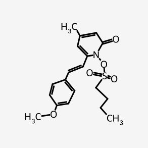 CCCCS(=O)(=O)On1c(C=Cc2ccc(OC)cc2)cc(C)cc1=O